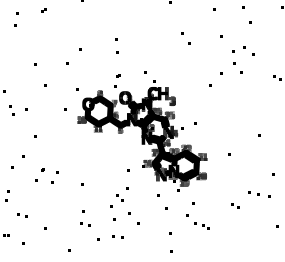 Cn1c(=O)n(CC2CCOCC2)c2nc(-c3cnn4ccccc34)ncc21